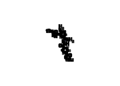 CCCCOC(=O)N1CCC(C(=O)N/N=C(\N)c2cnc(N)c(-c3nnc(C(C)(C)C)o3)n2)CC1